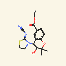 CCOC(=O)c1ccc2c(c1)C(N1CCS/C1=N\C#N)C(O)C(C)(C)O2